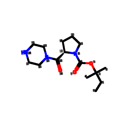 CCC(C)(C)OC(=O)N1CCC[C@H]1C(=O)N1CCNCC1